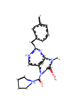 Cc1cccc(Cc2ncc3c(n2)n(C)c(=O)n3C(=O)N2CCCC2)c1